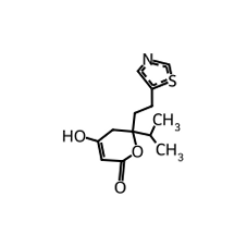 CC(C)C1(CCc2cncs2)CC(O)=CC(=O)O1